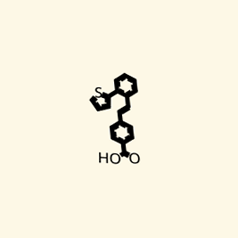 O=C(O)c1ccc(C=Cc2ccccc2-c2cccs2)cc1